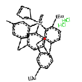 Cl.Cl.[CH2]=[Zr]([C]1=CC=CC1)([c]1cc(C)cc(C)c1)([c]1cc(C)cc(C)c1)[c]1c(C(C)(C)C)ccc2c1Cc1cc(C(C)(C)C)ccc1-2